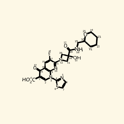 O=C(O)c1cn(-c2nccs2)c2nc(N3CC(O)(C(=O)NCC4CCCCO4)C3)c(F)cc2c1=O